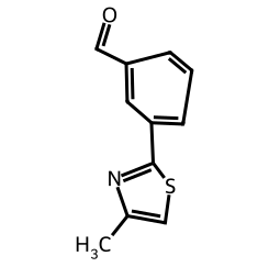 Cc1csc(-c2cccc(C=O)c2)n1